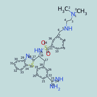 CN(C)CCNCc1cccc(S(=O)(=O)NC(Cc2cccc(C(=N)N)c2)c2nc3ccccc3s2)c1